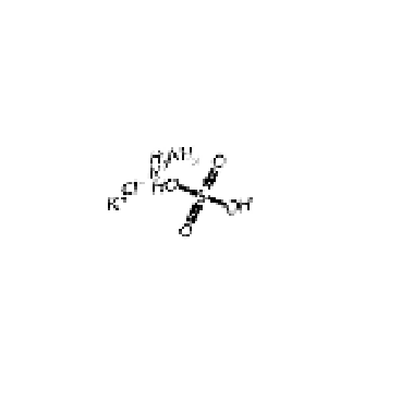 N.N.O=S(=O)(O)O.[Cl-].[K+]